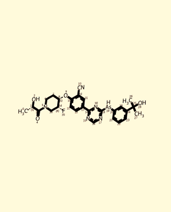 C[C@H](O)C(=O)N1CC[C@H](Oc2ccc(-c3ncnc([AsH]c4cccc(C(C)(C)O)c4)n3)cc2C#N)[C@H](F)C1